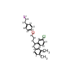 Cc1ccc(CC(CCCOc2ccc(CCI)cc2)c2cccc(Cl)c2)cc1C